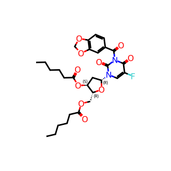 CCCCCC(=O)OC[C@H]1O[C@@H](n2cc(F)c(=O)n(C(=O)c3ccc4c(c3)OCO4)c2=O)C[C@@H]1OC(=O)CCCCC